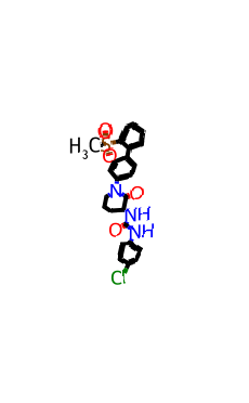 CS(=O)(=O)c1ccccc1-c1ccc(N2CCC[C@@H](NC(=O)Nc3ccc(Cl)cc3)C2=O)cc1